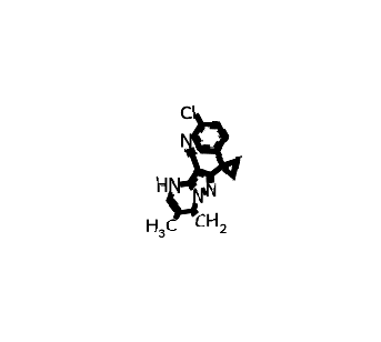 C=C1C(C)=CNc2c(C#N)c(C3(c4ccc(Cl)cc4)CC3)nn21